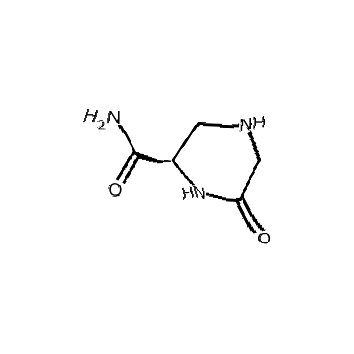 NC(=O)[C@H]1CNCC(=O)N1